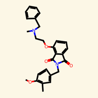 COc1ccc(CN2C(=O)c3cccc(OCCN(C)Cc4ccccc4)c3C2=O)cc1C